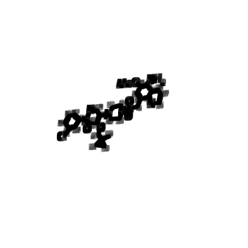 COc1cc(CS(=O)(=O)N2CCN(c3cnn(-c4cccc(Cl)c4)c(=O)c3OCC3(C)CC3)CC2)c2ncccc2c1N